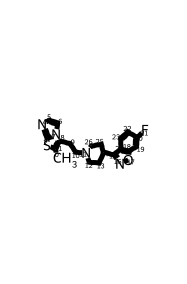 Cc1sc2nccn2c1CCN1CCC(c2noc3cc(F)ccc23)CC1